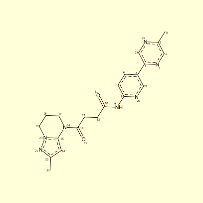 Cc1cnc(-c2ccc(NC(=O)CCC(=O)N3CCCn4nc(C)cc43)nc2)cn1